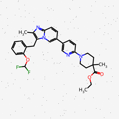 CCOC(=O)C1(C)CCN(c2ccc(-c3ccc4nc(C)c(Cc5ccccc5OC(F)F)n4c3)cn2)CC1